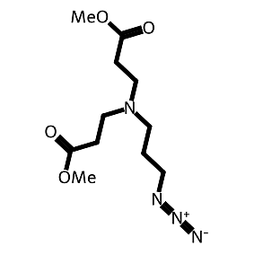 COC(=O)CCN(CCCN=[N+]=[N-])CCC(=O)OC